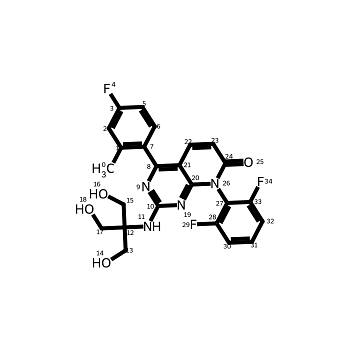 Cc1cc(F)ccc1-c1nc(NC(CO)(CO)CO)nc2c1ccc(=O)n2-c1c(F)cccc1F